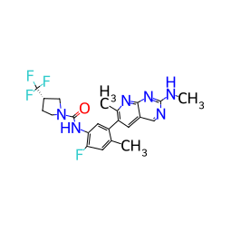 CNc1ncc2cc(-c3cc(NC(=O)N4CC[C@H](C(F)(F)F)C4)c(F)cc3C)c(C)nc2n1